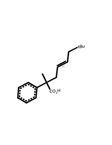 CC(C)(C)C/C=C/CC(C)(C(=O)O)c1ccccc1